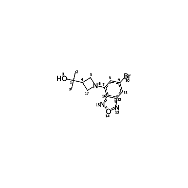 CC(C)(O)C1CN(c2cc(Br)cc3nonc23)C1